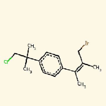 CC(CBr)=C(C)c1ccc(C(C)(C)CCl)cc1